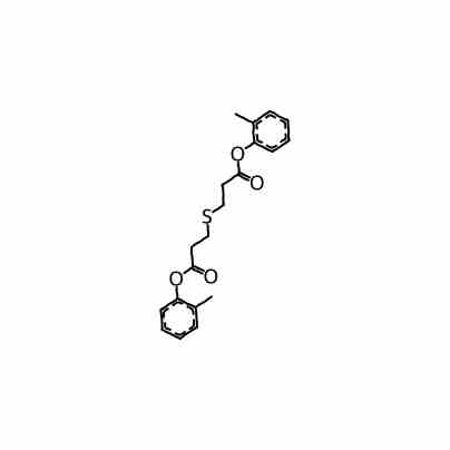 Cc1ccccc1OC(=O)CCSCCC(=O)Oc1ccccc1C